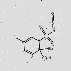 CCC(C)C1(C(=O)O)C=CC(Cl)=CC1S(=O)(=O)N=C=O